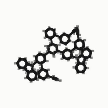 N#Cc1cccc(-c2ccccc2-c2nc(-c3ccc(-n4c5ccccc5c5ccccc54)c(-c4cccc(C#N)c4)c3)nc(-c3ccc(-n4c5ccccc5c5ccccc54)c(-c4cccc(C#N)c4)c3)n2)c1